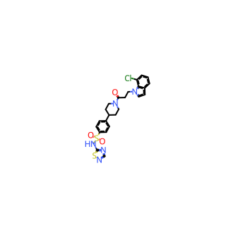 O=C(CCn1ccc2cccc(Cl)c21)N1CCC(c2ccc(S(=O)(=O)Nc3ncns3)cc2)CC1